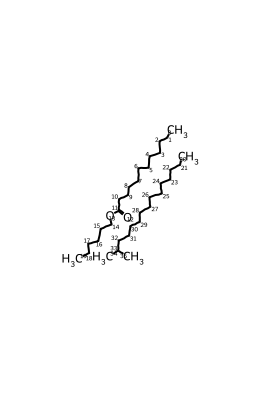 CCCCCCCCCCCC(=O)OCCCCCC.CCCCCCCCCCCCCC(C)C